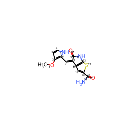 COc1cc[nH]c1/C=C1\C(=O)Nc2sc(C(N)=O)cc21